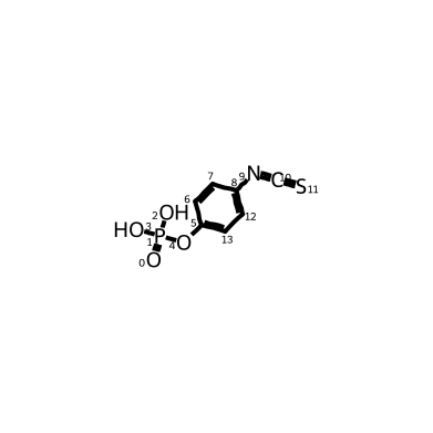 O=P(O)(O)Oc1ccc(N=C=S)cc1